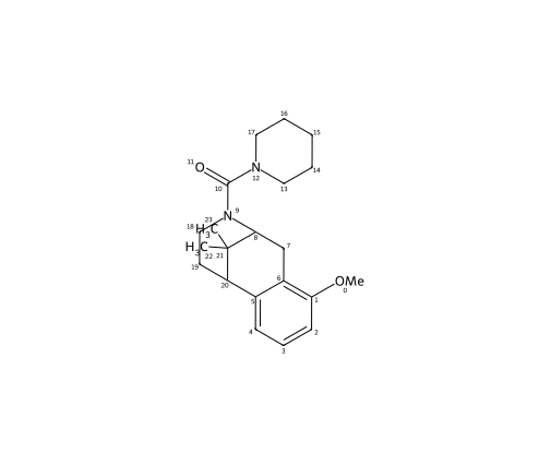 COc1cccc2c1CC1N(C(=O)N3CCCCC3)CCC2C1(C)C